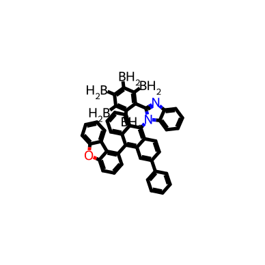 Bc1c(B)c(B)c(-c2nc3ccccc3n2-c2c3ccccc3c(-c3cccc4oc5ccccc5c34)c3cc(-c4ccccc4)ccc23)c(B)c1B